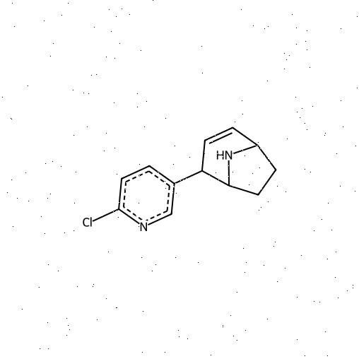 Clc1ccc(C2C=CC3CCC2N3)cn1